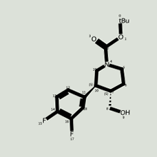 CC(C)(C)OC(=O)N1CC[C@H](CO)[C@@H](c2ccc(F)c(F)c2)C1